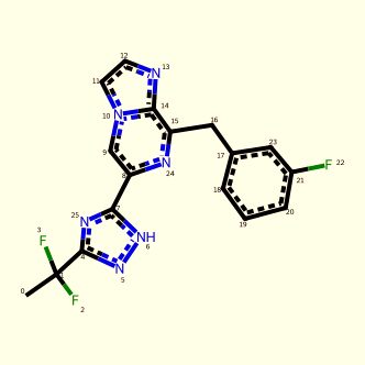 CC(F)(F)c1n[nH]c(-c2cn3ccnc3c(Cc3cccc(F)c3)n2)n1